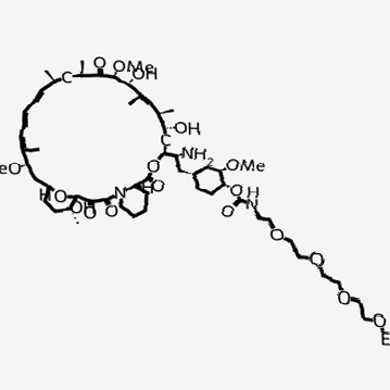 CCOCCOCCOCCOCCNC(=O)O[C@@H]1CC[C@@H](C[C@@H](N)[C@@H]2C[C@@H](O)[C@H](C)/C=C(\C)[C@@H](O)[C@@H](OC)C(=O)[C@H](C)C[C@H](C)/C=C/C=C/C=C(\C)[C@@H](OC)C[C@@H]3CC[C@@H](C)[C@@](O)(O3)C(=O)C(=O)N3CCCC[C@H]3C(=O)O2)C[C@H]1OC